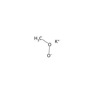 CO[O-].[K+]